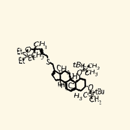 CC[Si](CC)(CC)OC(C)(C)/C=C/CSCC1=CC[C@H]2C3=CC=C4C[C@@H](O[Si](C)(C)C(C)(C)C)C[C@H](O[Si](C)(C)C(C)(C)C)[C@]4(C)[C@H]3CC[C@]12C